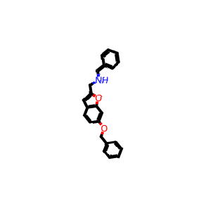 c1ccc(CNCc2cc3ccc(OCc4ccccc4)cc3o2)cc1